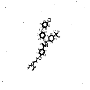 CCN(CC)CCCOc1ccc(-c2cn(-c3ccc(Oc4ccc(Cl)cc4)cc3)c([C@H]3CC[C@H](C(C)(C)C)CC3)n2)cc1